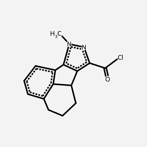 Cn1nc(C(=O)Cl)c2c1-c1cccc3c1C2CCC3